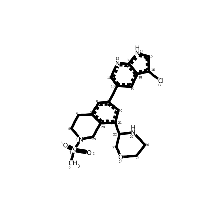 CS(=O)(=O)N1CCc2cc(-c3cnc4[nH]cc(Cl)c4c3)cc(C3COCCN3)c2C1